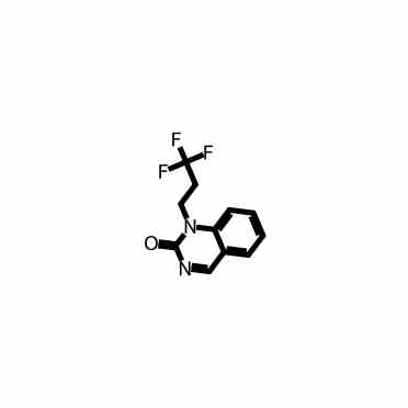 O=c1ncc2ccccc2n1CCC(F)(F)F